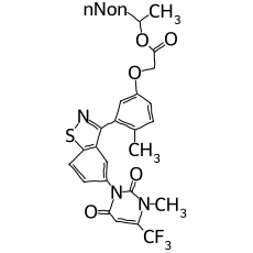 CCCCCCCCCC(C)OC(=O)COc1ccc(C)c(-c2nsc3ccc(-n4c(=O)cc(C(F)(F)F)n(C)c4=O)cc23)c1